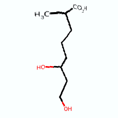 CC(CCCC(O)CCO)C(=O)O